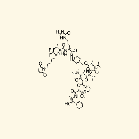 CC[C@H](C)[C@@H]([C@@H](CC(=O)N1CCC[C@H]1[C@H](OC)[C@@H](C)C(=O)N[C@H](C)[C@@H](O)c1ccccc1)OC)N(C)C(=O)[C@@H](NC(=O)[C@H](C(C)C)N(C)C(=O)OCc1ccc(NC(=O)[C@H](CCCNC(N)=O)NC(=O)[C@@H](N[C@H](CCCCCN2C(=O)C=CC2=O)C(F)(F)F)C(C)C)cc1)C(C)C